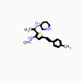 C=C(N[C@H]1CCCNC1)c1sc(C#Cc2ccc(C)cc2)cc1NC=O